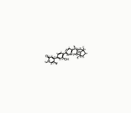 CN(c1cnc(-c2ccc(-c3cc(=O)n(C)cc3F)cc2O)nn1)[C@H]1C[C@]2(C)CC[C@@](C)(N2)[C@H]1F